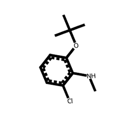 CNc1c(Cl)cccc1OC(C)(C)C